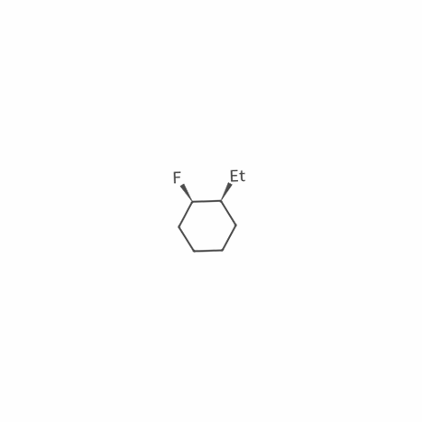 CC[C@H]1CCCC[C@H]1F